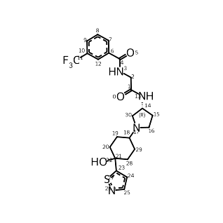 O=C(CNC(=O)c1cccc(C(F)(F)F)c1)N[C@@H]1CCN(C2CCC(O)(c3ccns3)CC2)C1